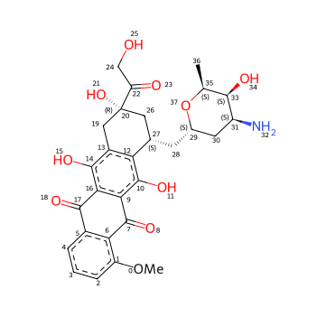 COc1cccc2c1C(=O)c1c(O)c3c(c(O)c1C2=O)C[C@@](O)(C(=O)CO)C[C@@H]3C[C@H]1C[C@H](N)[C@H](O)[C@H](C)O1